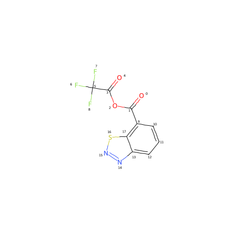 O=C(OC(=O)C(F)(F)F)c1cccc2nnsc12